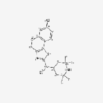 CCN(c1nc2c(s1)-c1ccc(Cl)cc1OC2)C1CC(C)(C)NC(C)(C)C1